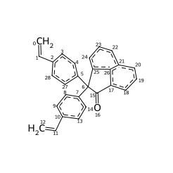 C=Cc1ccc(C2(c3ccc(C=C)cc3)C(=O)c3cccc4cccc2c34)cc1